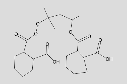 CC(CC(C)(C)OOC(=O)C1CCCCC1C(=O)O)OC(=O)C1CCCCC1C(=O)O